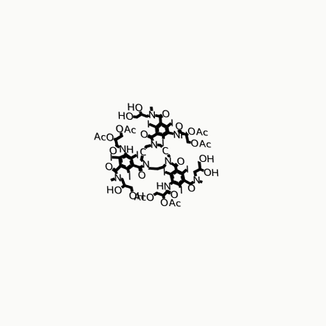 CC(=O)OCC(OC(C)=O)C(=O)Nc1c(I)c(C(=O)N(C)CC(O)CO)c(I)c(C(=O)N2CCCN(C(=O)c3c(I)c(NC(=O)C(COC(C)=O)OC(C)=O)c(I)c(C(=O)N(C)CC(O)CO)c3I)CCCN(C(=O)c3c(I)c(NC(=O)C(COC(C)=O)OC(C)=O)c(I)c(C(=O)N(C)CC(O)CO)c3I)CCC2)c1I